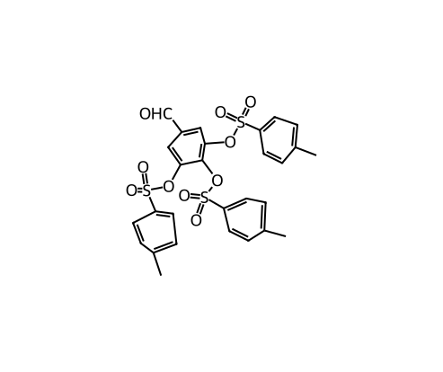 Cc1ccc(S(=O)(=O)Oc2cc(C=O)cc(OS(=O)(=O)c3ccc(C)cc3)c2OS(=O)(=O)c2ccc(C)cc2)cc1